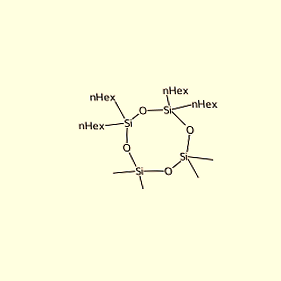 CCCCCC[Si]1(CCCCCC)O[Si](C)(C)O[Si](C)(C)O[Si](CCCCCC)(CCCCCC)O1